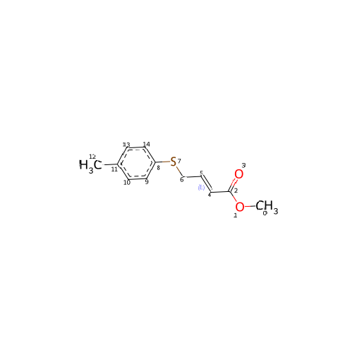 COC(=O)/C=C/CSc1ccc(C)cc1